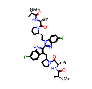 CCC[C@H](NC(=O)[C@H](C)NC)C(=O)N1CCC[C@H]1Cc1c(-c2nc3cc(F)ccc3n2CC[C@@H]2CCCN2C(=O)[C@@H](NC(=O)[C@H](C)NC)C(C)C)[nH]c2cc(F)ccc12